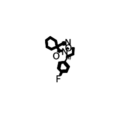 N#CC1(C(=O)N2OCC[C@H]2c2ccc(F)cc2)CCCCC1